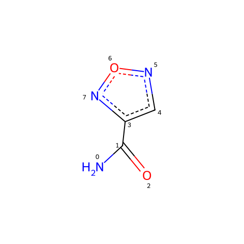 NC(=O)c1cnon1